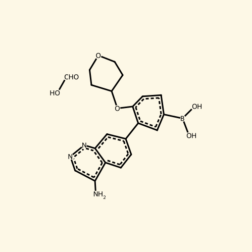 Nc1cnnc2cc(-c3cc(B(O)O)ccc3OC3CCOCC3)ccc12.O=CO